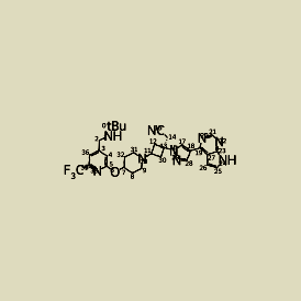 CC(C)(C)NCc1cc(OC2CCN([C@H]3C[C@@](CC#N)(n4cc(-c5ncnc6[nH]ccc56)cn4)C3)CC2)nc(C(F)(F)F)c1